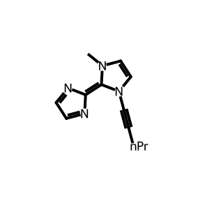 CCCC#CN1C=CN(C)C1=C1N=CC=N1